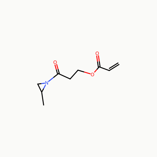 C=CC(=O)OCCC(=O)N1CC1C